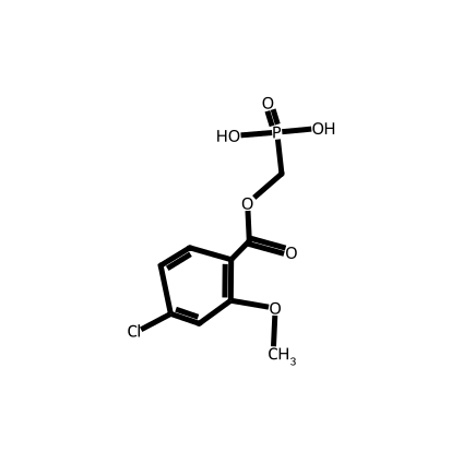 COc1cc(Cl)ccc1C(=O)OCP(=O)(O)O